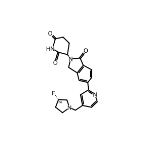 O=C1CCC(N2Cc3cc(-c4cc(CN5CC[C@H](F)C5)ccn4)ccc3C2=O)C(=O)N1